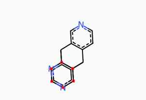 c1ccc2c(c1)C1c3ccncc3C2c2ncncc21